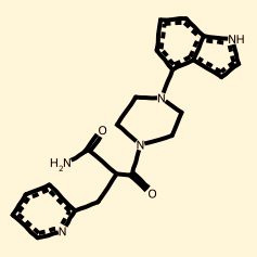 NC(=O)C(Cc1ccccn1)C(=O)N1CCN(c2cccc3[nH]ccc23)CC1